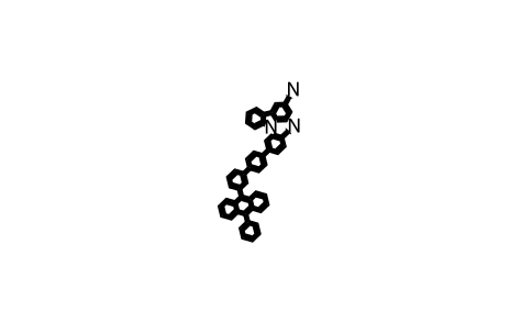 N#Cc1ccc2c(c1)c1ccccc1n2-c1cc(-c2ccc(-c3cccc(-c4c5ccccc5c(-c5ccccc5)c5ccccc45)c3)cc2)ccc1C#N